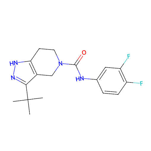 CC(C)(C)c1n[nH]c2c1CN(C(=O)Nc1ccc(F)c(F)c1)CC2